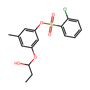 CCC(O)Oc1cc(C)cc(OS(=O)(=O)c2ccccc2Cl)c1